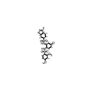 COc1ccc(S(=O)(=O)Nc2ccc(Cl)cc2NS(=O)(=O)c2ccc3c(c2)CSN3C)c(OC)c1